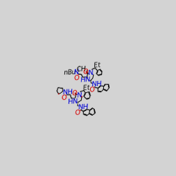 CCC(CN1CC[C@@H](CNC(=O)c2ccc3ccccc3c2)N[C@@H](CCC(=O)NC2CCCCC2)C1=O)c1ccccc1.CCCCN(C)C(=O)CC[C@@H]1N[C@H](CNC(=O)c2ccc3ccccc3c2)CCN(CC(CC)c2ccccc2)C1=O